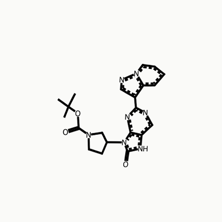 CC(C)(C)OC(=O)N1CCC(n2c(=O)[nH]c3cnc(-c4cnn5ccccc45)nc32)C1